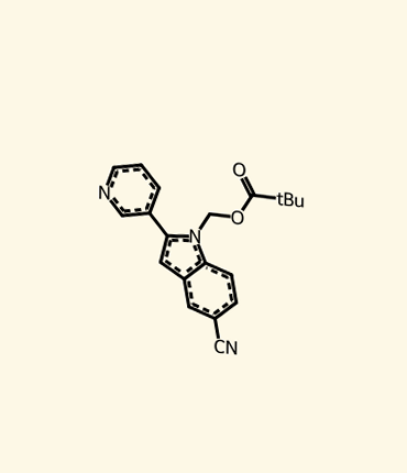 CC(C)(C)C(=O)OCn1c(-c2cccnc2)cc2cc(C#N)ccc21